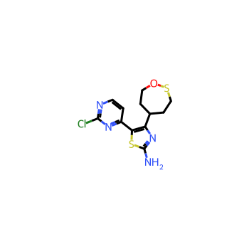 Nc1nc(C2CCOSCC2)c(-c2ccnc(Cl)n2)s1